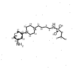 CC(C)CS(=O)(=O)NCCCCN1CCN(c2cccc(N)c2)CC1